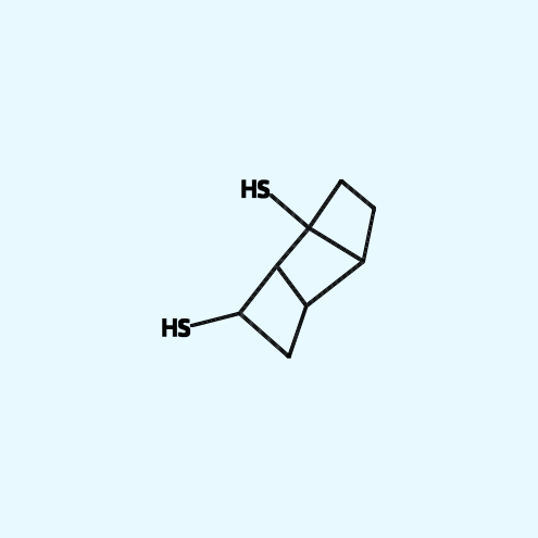 SC1CC2C3CCC3(S)C12